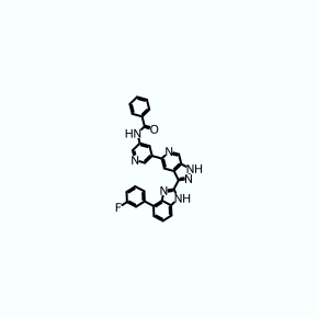 O=C(Nc1cncc(-c2cc3c(-c4nc5c(-c6cccc(F)c6)cccc5[nH]4)n[nH]c3cn2)c1)c1ccccc1